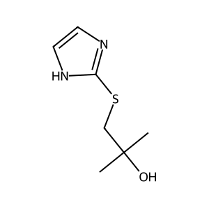 CC(C)(O)CSc1ncc[nH]1